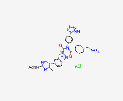 CC(=O)Nc1ncc(-c2cccc(C[C@H](N)C(=O)N(c3ccc(-c4nnn[nH]4)cc3)C(=O)[C@H]3CC[C@H](CN)CC3)c2)c(C)n1.Cl